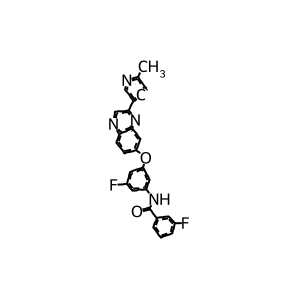 Cc1ccc(-c2cnc3ccc(Oc4cc(F)cc(NC(=O)c5cccc(F)c5)c4)cc3n2)cn1